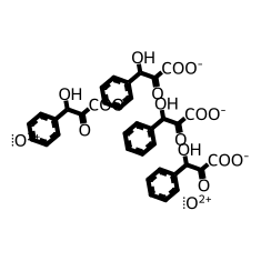 O=C([O-])C(=O)C(O)c1ccccc1.O=C([O-])C(=O)C(O)c1ccccc1.O=C([O-])C(=O)C(O)c1ccccc1.O=C([O-])C(=O)C(O)c1ccccc1.[O+2].[O+2]